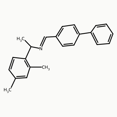 Cc1ccc(C(C)N=Cc2ccc(-c3ccccc3)cc2)c(C)c1